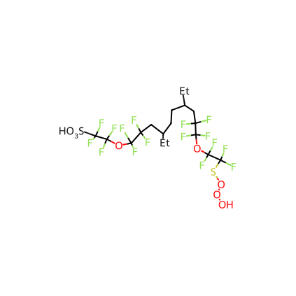 CCC(CCC(CC)CC(F)(F)C(F)(F)OC(F)(F)C(F)(F)S(=O)(=O)O)CC(F)(F)C(F)(F)OC(F)(F)C(F)(F)SOOO